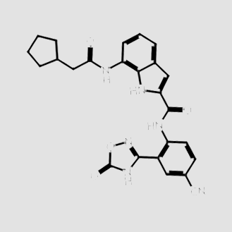 N#Cc1ccc(NC(=O)c2cc3cccc(NC(=O)CC4CCCC4)c3[nH]2)c(-c2noc(=O)[nH]2)c1